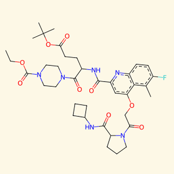 CCOC(=O)N1CCN(C(=O)C(CCC(=O)OC(C)(C)C)NC(=O)c2cc(OCC(=O)N3CCCC3C(=O)NC3CCC3)c3c(C)c(F)ccc3n2)CC1